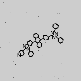 c1ccc(-c2nc(-c3ccccc3)nc(-c3ccc(-c4c5ccccc5c(-c5ccc6nc(-c7ccncc7)n(-c7ccccc7)c6c5)c5ccccc45)cc3)n2)cc1